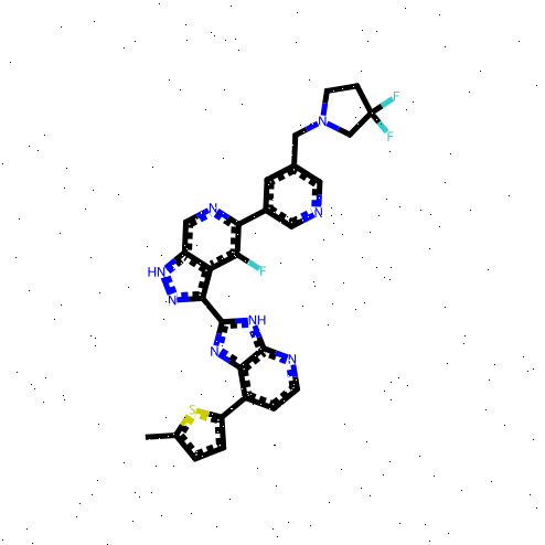 Cc1ccc(-c2ccnc3[nH]c(-c4n[nH]c5cnc(-c6cncc(CN7CCC(F)(F)C7)c6)c(F)c45)nc23)s1